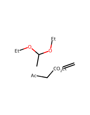 C=C.CCOC(=O)CC(C)=O.CCOC(C)OCC